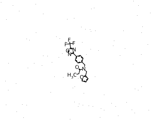 CCC(=O)N(Cc1ccc(-c2noc(C(F)(F)F)n2)cc1)Cc1ccco1